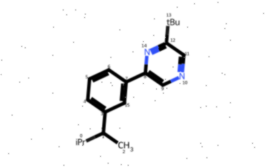 CC(C)C(C)c1cccc(-c2cncc(C(C)(C)C)n2)c1